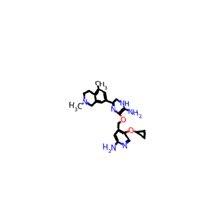 Cc1cc(C2=NC(OCc3cc(N)ncc3OC3CC3)=C(N)NC2)cc2c1CCN(C)C2